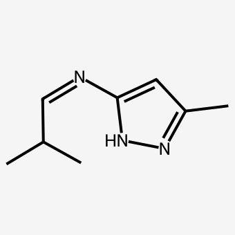 Cc1cc(/N=C\C(C)C)[nH]n1